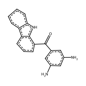 Nc1cc(N)cc(C(=O)c2cccc3c2[nH]c2ccccc23)c1